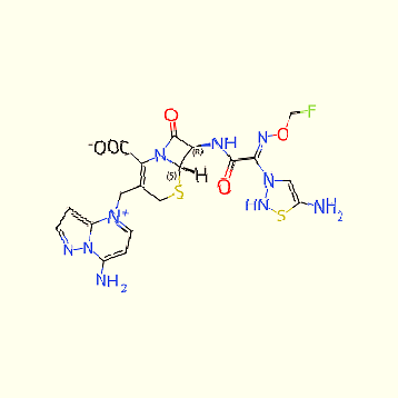 NC1=CN(C(=NOCF)C(=O)N[C@@H]2C(=O)N3C(C(=O)[O-])=C(C[n+]4ccc(N)n5nccc54)CS[C@@H]23)NS1